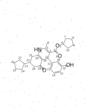 CC1=C(C(=O)OC2CCCC2)C(c2cccc(O)c2)C2=C(CC(C3CCCC3)CC2=O)N1